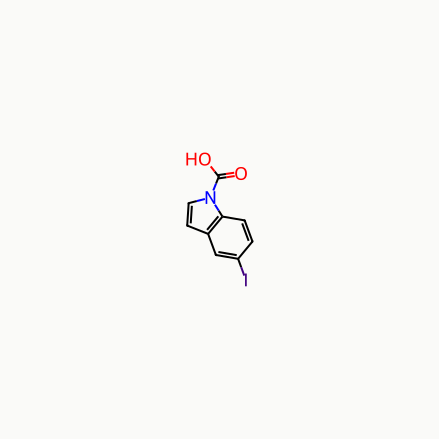 O=C(O)n1ccc2cc(I)ccc21